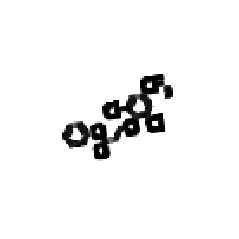 O=C(CCOc1c(Cl)cc(C(F)(F)F)cc1Cl)Oc1ccccc1